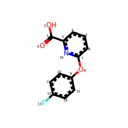 O=C(O)c1cccc(Oc2ccc(F)cc2)n1